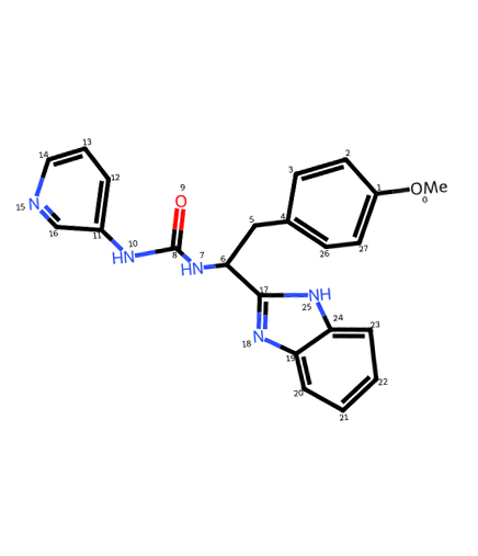 COc1ccc(CC(NC(=O)Nc2cccnc2)c2nc3ccccc3[nH]2)cc1